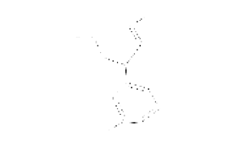 CCC=CC(CC(=O)O)c1cccc(O)c1